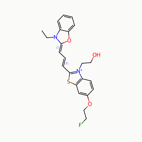 CCN1/C(=C/C=C/c2sc3cc(OCCF)ccc3[n+]2CCO)Oc2ccccc21